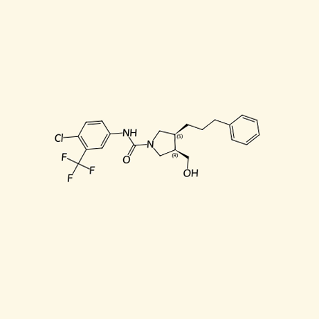 O=C(Nc1ccc(Cl)c(C(F)(F)F)c1)N1C[C@@H](CCCc2ccccc2)[C@@H](CO)C1